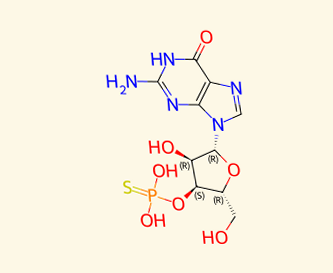 Nc1nc2c(ncn2[C@@H]2O[C@H](CO)[C@@H](OP(O)(O)=S)[C@H]2O)c(=O)[nH]1